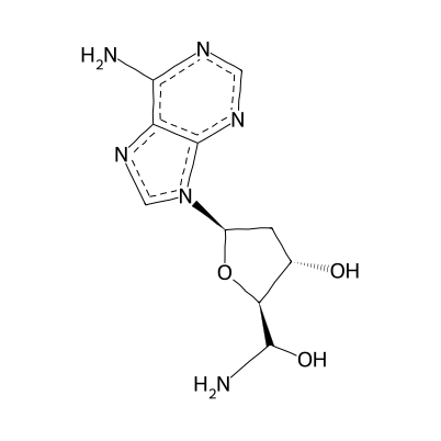 Nc1ncnc2c1ncn2[C@H]1C[C@H](O)[C@@H](C(N)O)O1